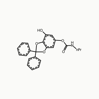 CCCNC(=O)Oc1cc(O)c2c(c1)OC(c1ccccc1)(c1ccccc1)O2